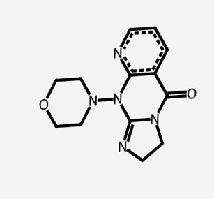 O=C1c2cccnc2N(N2CCOCC2)C2=NCCN12